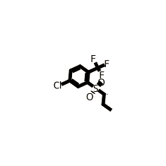 CC[CH]S(=O)(=O)c1cc(Cl)ccc1C(F)(F)F